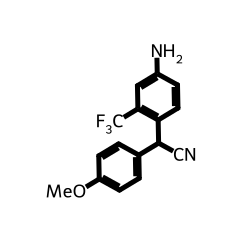 COc1ccc(C(C#N)c2ccc(N)cc2C(F)(F)F)cc1